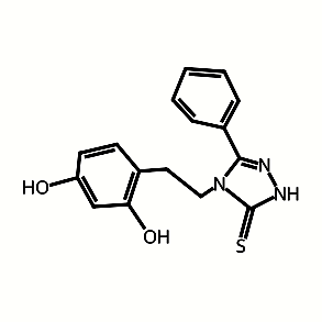 Oc1ccc(CCn2c(-c3ccccc3)n[nH]c2=S)c(O)c1